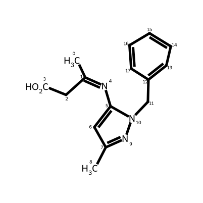 CC(CC(=O)O)=Nc1cc(C)nn1Cc1ccccc1